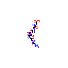 NCC(=O)NCC(=O)N[C@@H](CO)C(=O)NCC(=O)NCC(=O)NCC(=O)O